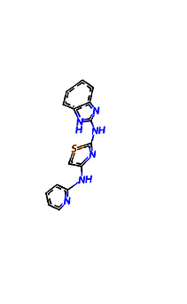 c1ccc(Nc2csc(Nc3nc4ccccc4[nH]3)n2)nc1